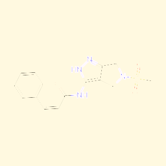 CS(=O)(=O)N1Cc2n[nH]c(NC(=O)/C=C\c3ccccc3)c2C1